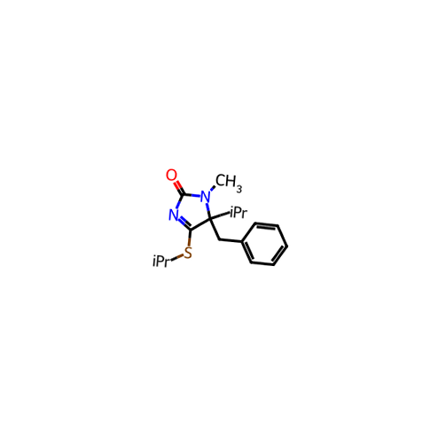 CC(C)SC1=NC(=O)N(C)C1(Cc1ccccc1)C(C)C